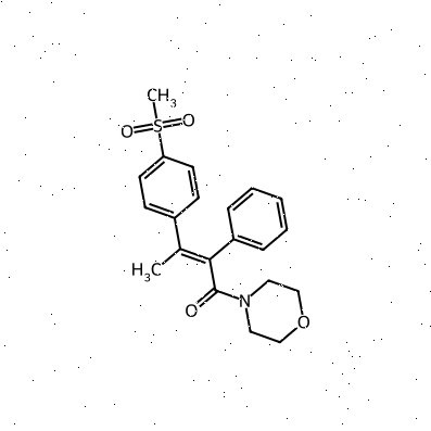 C/C(=C(\C(=O)N1CCOCC1)c1ccccc1)c1ccc(S(C)(=O)=O)cc1